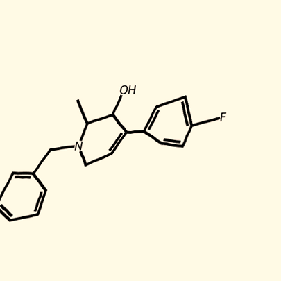 CC1C(O)C(c2ccc(F)cc2)=CCN1Cc1ccccc1